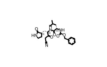 CC(C)C[C@H](NC(=O)OCc1ccccc1)C(=O)N[C@@H](C[C@@H]1CCNC1=O)C(=O)CC#N